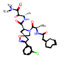 CCC[C@H](NC(=O)[C@@H]1C[C@]2(CC(c3cccc(Cl)c3)=NO2)CN1C(=O)[C@H](NC(=O)CC1CCCCC1)C(C)(C)C)C(=O)C(=O)N(CC)CC